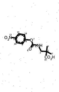 CC(C)(CNC(=O)Oc1ccc([N+](=O)[O-])cc1)C(=O)O